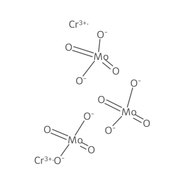 [Cr+3].[Cr+3].[O]=[Mo](=[O])([O-])[O-].[O]=[Mo](=[O])([O-])[O-].[O]=[Mo](=[O])([O-])[O-]